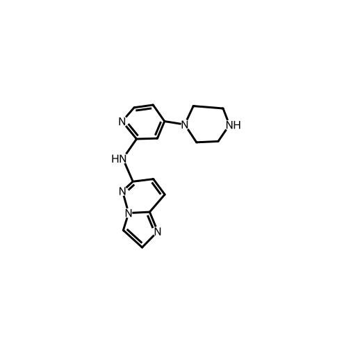 c1cc(N2CCNCC2)cc(Nc2ccc3nccn3n2)n1